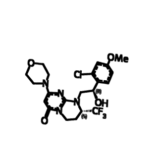 COc1ccc([C@@H](O)CN2c3nc(N4CCOCC4)cc(=O)n3CC[C@H]2C(F)(F)F)c(Cl)c1